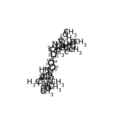 COC[C@H]1C[C@@H](c2nc3ccc4cc(-c5ccc6c(ccc7nc([C@@H]8CC9C([C@@H]9C)N8C(=O)C(NC(=O)OC)C(C)C)[nH]c76)c5)ccc4c3[nH]2)N(C(=O)[C@@H](NC(=O)OC)C(C)C)C1